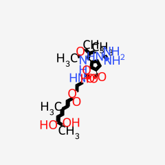 CCC(CC)[C@H](NC(C)=O)[C@@H]1[C@H](OC(=O)NCCCOC(=O)/C=C/C(C)=C/C=C(/O)C(C)O)[C@@H](C(=O)O)C[C@H]1NC(=N)N